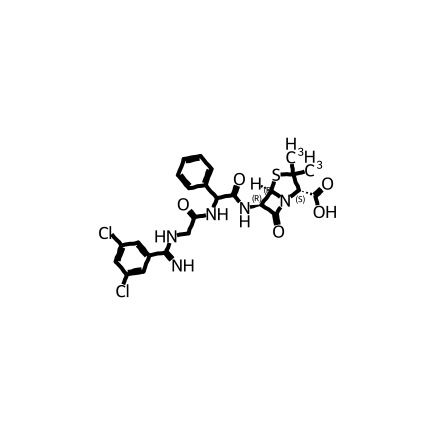 CC1(C)S[C@@H]2[C@H](NC(=O)C(NC(=O)CNC(=N)c3cc(Cl)cc(Cl)c3)c3ccccc3)C(=O)N2[C@H]1C(=O)O